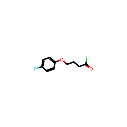 O=C(Cl)CCCOc1ccc(F)cc1